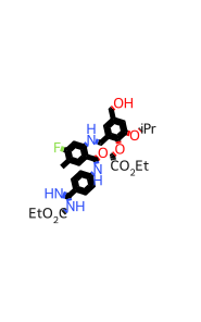 CCOC(=O)COc1c(CNc2cc(F)c(C)cc2C(=O)Nc2ccc(C(=N)NC(=O)OCC)cc2)cc(CO)cc1OC(C)C